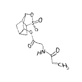 C=CC(=O)NCC(=O)OC1C2CC3C1OS(=O)(=O)C3C2